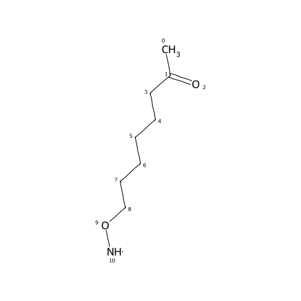 CC(=O)CCCCCCO[NH]